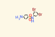 Nc1ccc(S(=O)(=O)Nc2cc(Br)cc(Br)c2)cc1